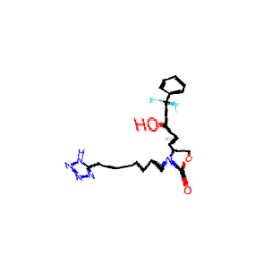 O=C1OCC(/C=C/C(O)C(F)(F)c2ccccc2)N1CCCCCCc1nnn[nH]1